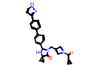 O=C(C1CC1)N1CC(CN2C(=O)C3(CC3)NC2c2ccc(-c3ccc(-c4cc[nH]n4)cc3)cc2)C1